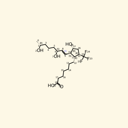 C[C@@H](O)CCC[C@H](O)/C=C/[C@@H]1[C@@H](CCCCCCC(=O)O)[C@H](C(F)(F)F)C[C@H]1O